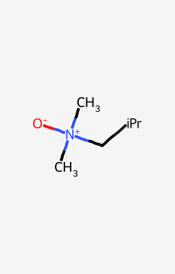 CC(C)C[N+](C)(C)[O-]